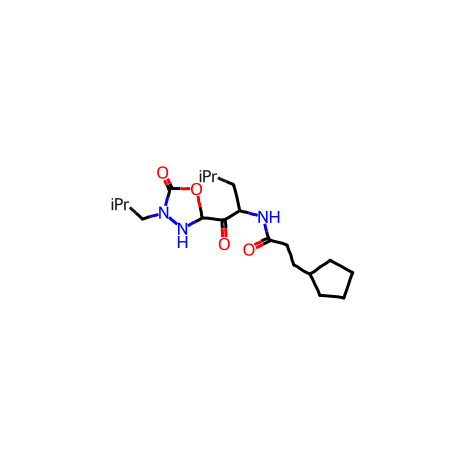 CC(C)CC(NC(=O)CCC1CCCC1)C(=O)C1NN(CC(C)C)C(=O)O1